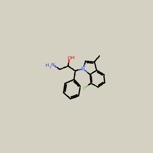 Cc1cn(C(c2ccccc2)C(O)CN)c2c(F)cccc12